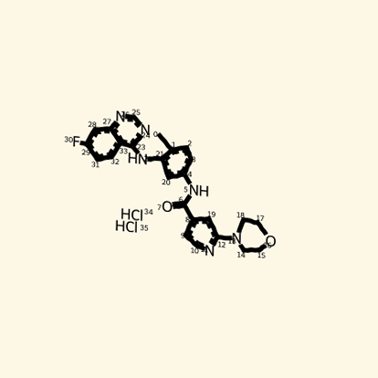 Cc1ccc(NC(=O)c2ccnc(N3CCOCC3)c2)cc1Nc1ncnc2cc(F)ccc12.Cl.Cl